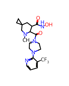 CN1CC2(CC2)CC(C(=O)NO)C1C(=O)N1CCN(c2ncccc2C(F)(F)F)CC1